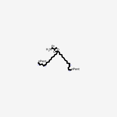 CCCCC/C=C\C/C=C\CCCCCCCCC1(CCCCCCCC/C=C\C/C=C\CCCCC)OCC(C(N)CC)O1